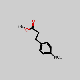 CC(C)(C)OC(=O)CCc1ccc([N+](=O)[O-])cc1